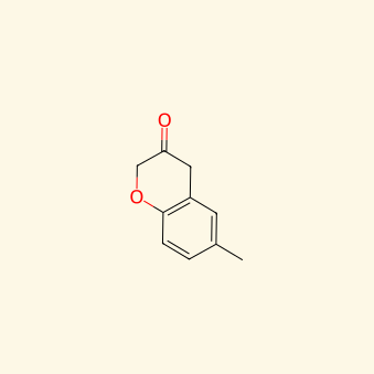 Cc1ccc2c(c1)CC(=O)CO2